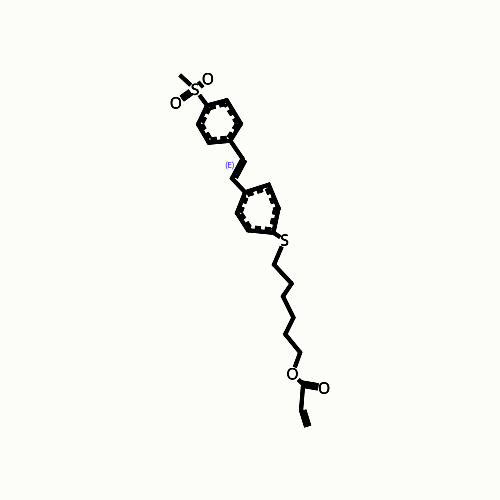 C=CC(=O)OCCCCCCSc1ccc(/C=C/c2ccc(S(C)(=O)=O)cc2)cc1